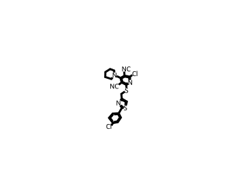 [C-]#[N+]c1c(Cl)nc(SCc2csc(-c3ccc(Cl)cc3)n2)c(C#N)c1N1CCCCC1